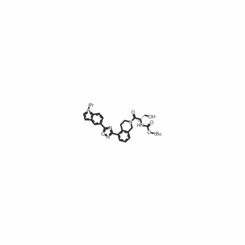 CC(C)n1ccc2cc(-c3nc(-c4cccc5c4CCN(C(=O)[C@H](CO)NC(=O)OC(C)(C)C)C5)no3)ccc21